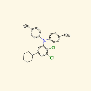 CC(C)(C)c1ccc(N(c2ccc(C(C)(C)C)cc2)c2cc(C3CCCCC3)cc(Cl)c2Cl)cc1